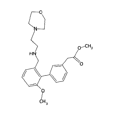 COC(=O)Cc1cccc(-c2c(CNCCN3CCOCC3)cccc2OC)c1